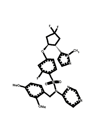 COc1ccc(CN(c2ccncn2)S(=O)(=O)c2ccc(O[C@H]3CC(F)(F)C[C@@H]3c3ccnn3C)cc2F)c(OC)c1